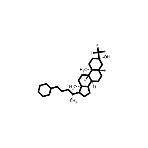 C[C@H](CCCC1CCCCC1)C1CCC2[C@@H]3CC[C@H]4C[C@](O)(C(F)(F)F)CC[C@]4(C)[C@H]3CC[C@]12C